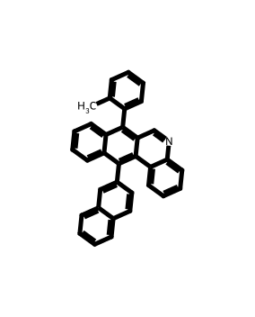 Cc1ccccc1-c1c2ccccc2c(-c2ccc3ccccc3c2)c2c1cnc1ccccc12